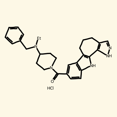 CCN(Cc1ccccc1)C1CCN(C(=O)c2ccc3[nH]c4c(c3c2)CCCc2cn[nH]c2-4)CC1.Cl